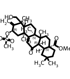 C=C1[C@H](OS(C)(=O)=O)C[C@]2(C)C3=CC(=O)[C@@H]4[C@@H]5CC(C)(C)CC[C@]5(C(=O)OC)CC[C@@]4(C)[C@]3(C)CC[C@H]2[C@@]1(C)CO